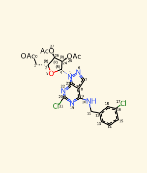 CC(=O)OC[C@H]1O[C@@H](n2ncc3c(NCc4cccc(Cl)c4)nc(Cl)nc32)[C@H](OC(C)=O)[C@@H]1OC(C)=O